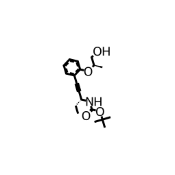 CC[C@H](C#Cc1ccccc1O[C@H](C)CO)NC(=O)OC(C)(C)C